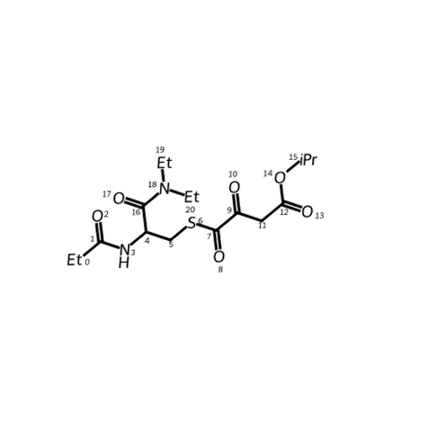 CCC(=O)NC(CSC(=O)C(=O)CC(=O)OC(C)C)C(=O)N(CC)CC